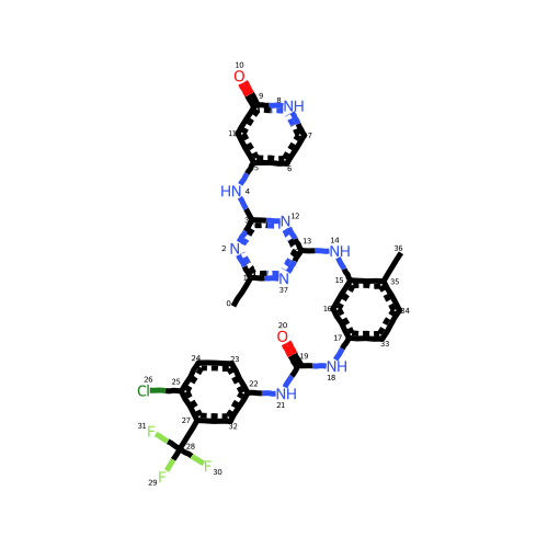 Cc1nc(Nc2cc[nH]c(=O)c2)nc(Nc2cc(NC(=O)Nc3ccc(Cl)c(C(F)(F)F)c3)ccc2C)n1